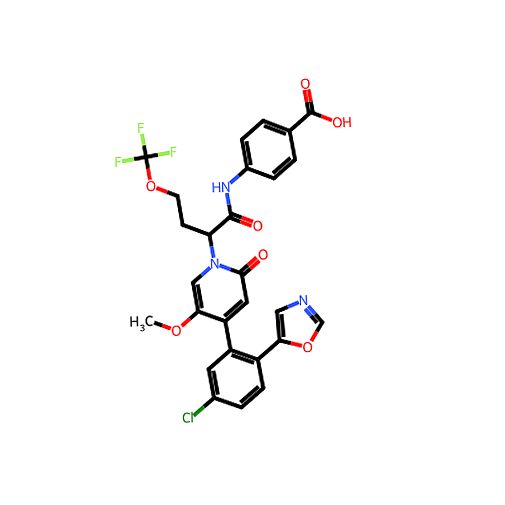 COc1cn(C(CCOC(F)(F)F)C(=O)Nc2ccc(C(=O)O)cc2)c(=O)cc1-c1cc(Cl)ccc1-c1cnco1